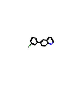 Fc1cccc(-c2ccc3ncccc3c2)c1